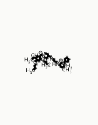 C=C(C)c1cc(C(=O)N2CCC(CNCCCNC(CC(C)C)C(=O)OC3CCCC3)CC2)c(OCCCC)cc1OCCCC